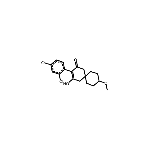 COC1CCC2(CC1)CC(=O)C(c1ccc(Cl)cc1Cl)=C(O)C2